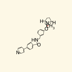 CN1[C@@H]2CC[C@H]1C[C@H](Oc1cccc(CNC(=O)c3ccc(-c4ccncc4)cc3)c1)C2